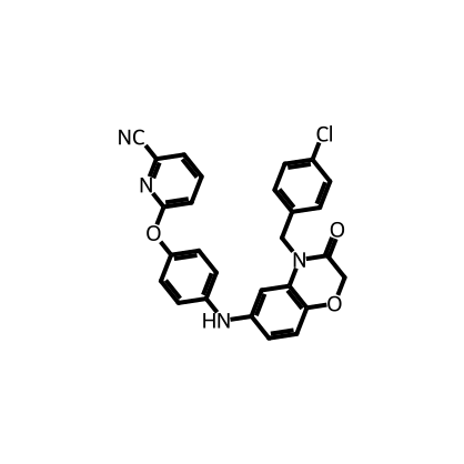 N#Cc1cccc(Oc2ccc(Nc3ccc4c(c3)N(Cc3ccc(Cl)cc3)C(=O)CO4)cc2)n1